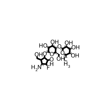 C[C@H]1O[C@@H](O[C@H]2[C@H](O)[C@@H](O)[C@@H](OC3C(O)C(F)[C@H](N)C3CO)O[C@@H]2CO)[C@H](O)[C@@H](O)[C@@H]1O